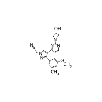 COc1cc(C)cc(-c2nn(CC#N)cc2-c2ccnc(N3CC(O)C3)n2)c1